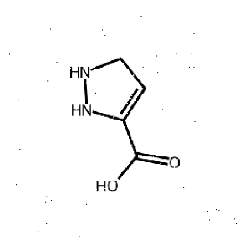 O=C(O)C1=CCNN1